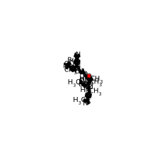 CC(=O)OC1C[C@@H](C(=O)N[C@@H](C)c2ccc(-c3scnc3C)cc2)N(C(=O)[C@@H](NC(=O)COC2CN(CCN(c3ccc(-n4ccnc4)c(Br)c3)c3cc(-c4c(C)noc4C)ccc3C)C2)C(C)(C)C)C1